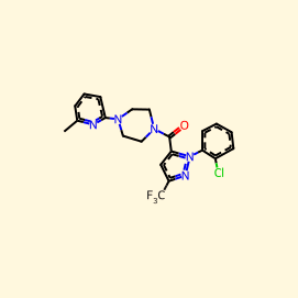 Cc1cccc(N2CCN(C(=O)c3cc(C(F)(F)F)nn3-c3ccccc3Cl)CC2)n1